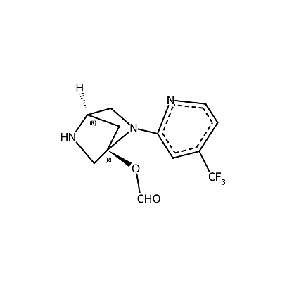 O=CO[C@]12CN[C@@H](CN1c1cc(C(F)(F)F)ccn1)C2